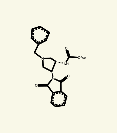 COC(=O)N[C@H]1CN(Cc2ccccc2)C[C@@H]1N1C(=O)c2ccccc2C1=O